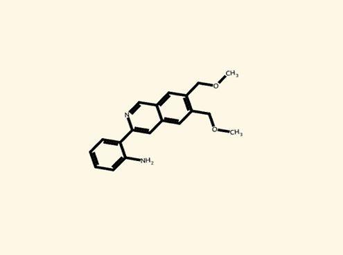 COCc1cc2cnc(-c3ccccc3N)cc2cc1COC